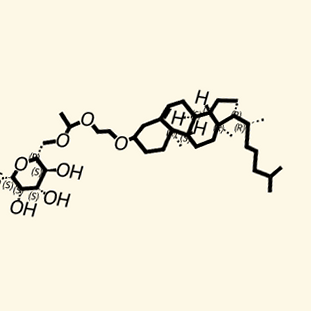 CC(C)CCC[C@@H](C)[C@H]1CC[C@H]2[C@@H]3CC=C4CC(OCCOC(C)OC[C@H]5O[C@@H](S)[C@@H](O)[C@@H](O)[C@@H]5O)CC[C@]4(C)[C@H]3CC[C@]12C